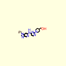 CC(C)n1cnc2cnc(Nc3ccnc(N4CCC(CO)CC4)n3)cc21